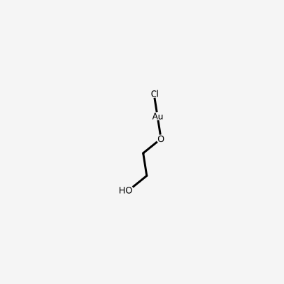 OCC[O][Au][Cl]